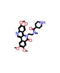 COc1cc2c(=O)n(CCN(C)C(=O)C3CCNCC3)c3c4cc5c(cc4ncc3c2cc1OC)OCO5